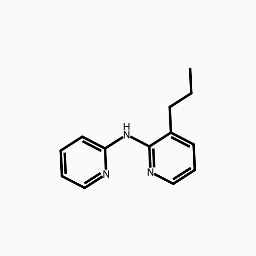 CCCc1cccnc1Nc1ccccn1